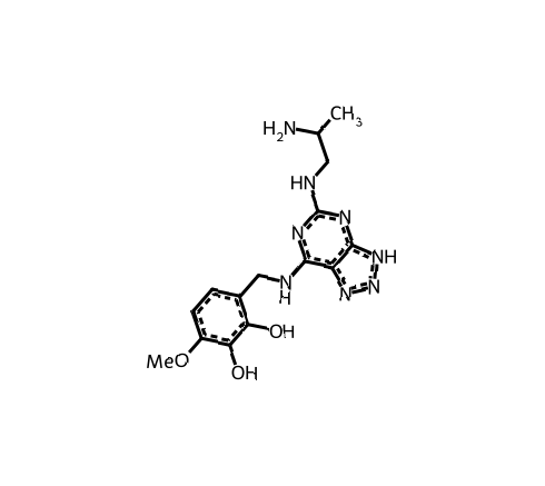 COc1ccc(CNc2nc(NCC(C)N)nc3[nH]nnc23)c(O)c1O